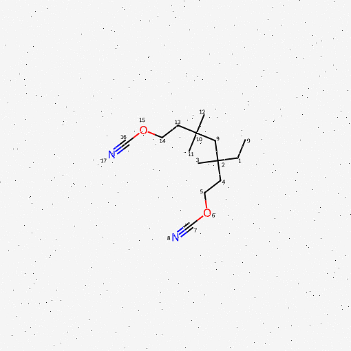 CCC(C)(CCOC#N)CC(C)(C)CCOC#N